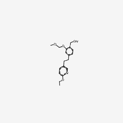 CCOc1ccc(CCc2ccc(CO)c(OCOC)c2)cn1